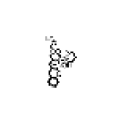 CCOCOCC(CC(Cc1ccccc1)C(=O)NO)NC(=O)C1SCCCS1